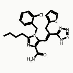 CCCCc1nc(C(N)=O)c(C=C(Cc2cccs2)c2nnn[nH]2)n1Cc1ccccc1Cl